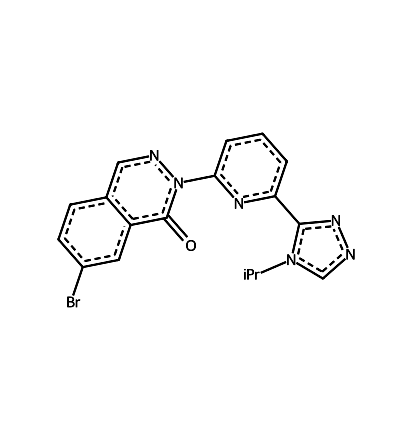 CC(C)n1cnnc1-c1cccc(-n2ncc3ccc(Br)cc3c2=O)n1